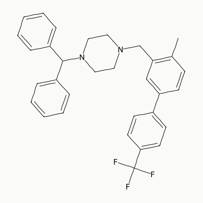 Cc1ccc(-c2ccc(C(F)(F)F)cc2)cc1CN1CCN(C(c2ccccc2)c2ccccc2)CC1